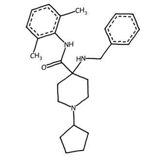 Cc1cccc(C)c1NC(=O)C1(NCc2ccccc2)CCN(C2CCCC2)CC1